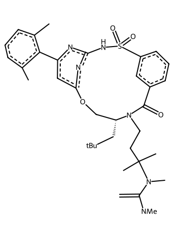 C=C(NC)N(C)C(C)(C)CCN1C(=O)c2cccc(c2)S(=O)(=O)Nc2nc(cc(-c3c(C)cccc3C)n2)OC[C@H]1CC(C)(C)C